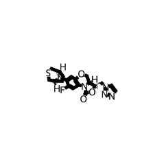 O=C1O[C@@H](Cn2ccnn2)[C@@H]2COc3cc(N4[C@@H]5CC[C@H]4CSC5)c(F)cc3N12